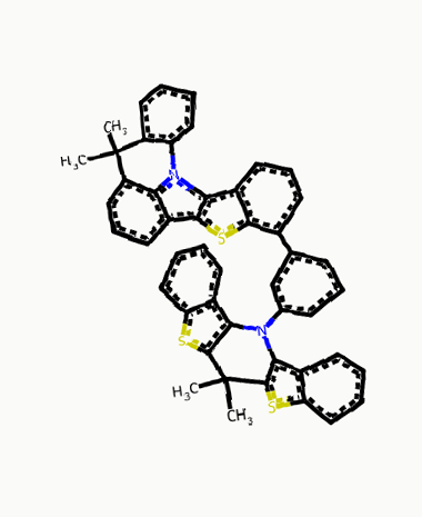 CC1(C)c2sc3ccccc3c2N(c2cccc(-c3cccc4c3sc3c5cccc6c5n(c43)-c3ccccc3C6(C)C)c2)c2c1sc1ccccc21